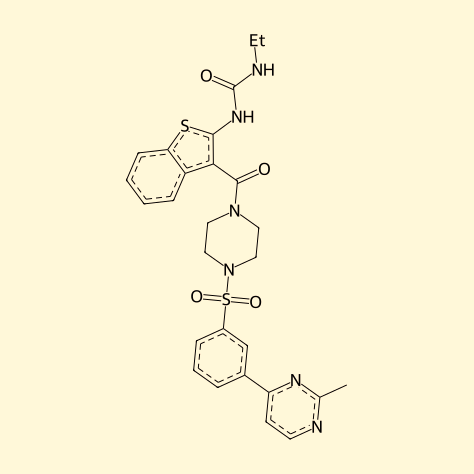 CCNC(=O)Nc1sc2ccccc2c1C(=O)N1CCN(S(=O)(=O)c2cccc(-c3ccnc(C)n3)c2)CC1